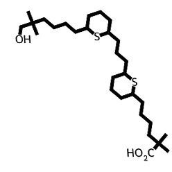 CC(C)(CO)CCCCC1CCCC(CCCC2CCCC(CCCCC(C)(C)C(=O)O)S2)S1